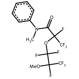 COC(F)(C(F)(F)F)C(F)(F)OC(F)(C(=O)N(C)c1ccccc1)C(F)(F)F